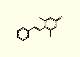 Cc1cc(=O)cc(C)n1C=Cc1ccccc1